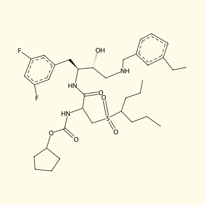 CCCC(CCC)S(=O)(=O)CC(NC(=O)OC1CCCC1)C(=O)N[C@@H](Cc1cc(F)cc(F)c1)[C@H](O)CNCc1cccc(CC)c1